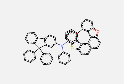 c1ccc(N(c2ccc(-c3cccc4oc5ccc6ccc7sc8ccccc8c7c6c5c34)cc2)c2ccc3c(c2)C(c2ccccc2)(c2ccccc2)c2ccccc2-3)cc1